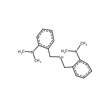 CN(C)c1ccccc1[CH2][Lu][CH2]c1ccccc1N(C)C